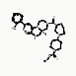 CC(C)(C)OC(=O)N1CCC(N2CCC[C@H](C(=O)N3CCN4c5cc(-c6ccccc6O)nnc5NC[C@H]4C3)C2)CC1